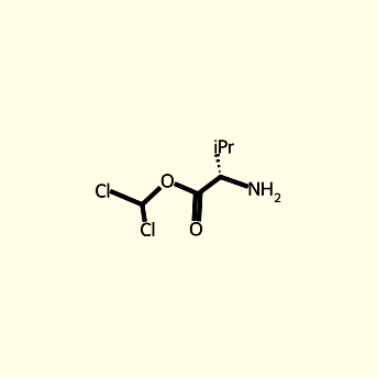 CC(C)[C@H](N)C(=O)OC(Cl)Cl